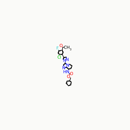 CC(=O)c1cc(-c2cnn(-c3cnc4c(NC(=O)OCc5ccccc5)cccn34)c2)c(Cl)cc1F